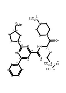 CCOC(=O)N1CCN(C(=O)[C@H](CCC(=O)O)NC(=O)c2cc(N3CC[C@@H](OC)C3)nc(-c3ccccc3)n2)CC1.O=CO